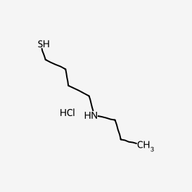 CCCNCCCCS.Cl